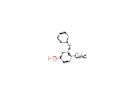 CC(=O)Oc1ccc(O)cc1Cc1ccccc1